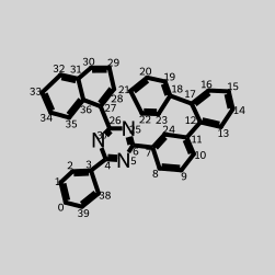 c1ccc(-c2nc(-c3cccc(-c4ccccc4-c4ccccc4)c3)nc(-c3cccc4ccccc34)n2)cc1